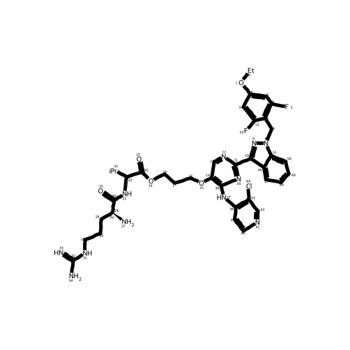 CCOc1cc(F)c(Cn2nc(-c3ncc(OCCCOC(=O)C(NC(=O)[C@@H](N)CCCNC(=N)N)C(C)C)c(Nc4ccncc4Cl)n3)c3ccccc32)c(F)c1